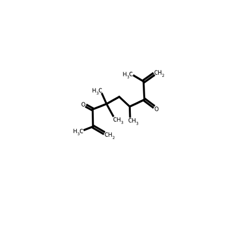 C=C(C)C(=O)C(C)CC(C)(C)C(=O)C(=C)C